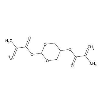 C=C(C)C(=O)OC1COC(OC(=O)C(=C)C)OC1